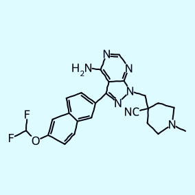 CN1CCC(C#N)(Cn2nc(-c3ccc4cc(OC(F)F)ccc4c3)c3c(N)ncnc32)CC1